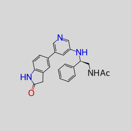 CC(=O)NC[C@H](Nc1cncc(-c2ccc3c(c2)CC(=O)N3)c1)c1ccccc1